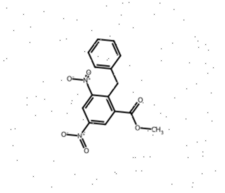 COC(=O)c1cc([N+](=O)[O-])cc([N+](=O)[O-])c1Cc1ccccc1